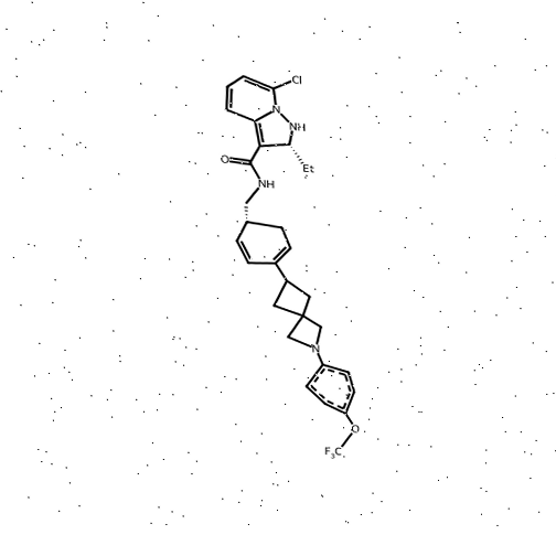 CC[C@H]1NN2C(Cl)=CC=CC2=C1C(=O)NC[C@H]1C=CC(C2CC3(C2)CN(c2ccc(OC(F)(F)F)cc2)C3)=CC1